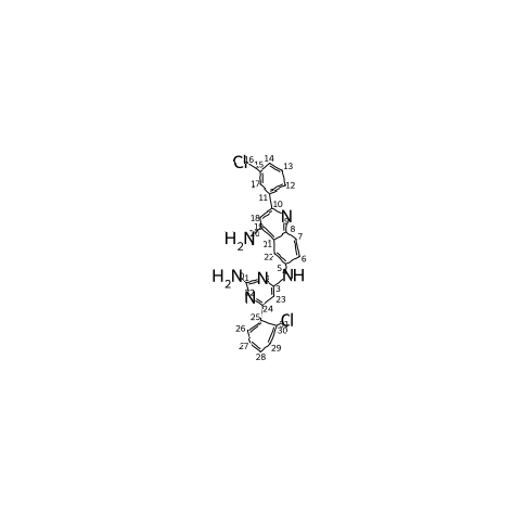 Nc1nc(Nc2ccc3nc(-c4cccc(Cl)c4)cc(N)c3c2)cc(-c2ccccc2Cl)n1